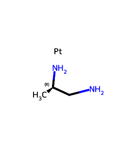 C[C@@H](N)CN.[Pt]